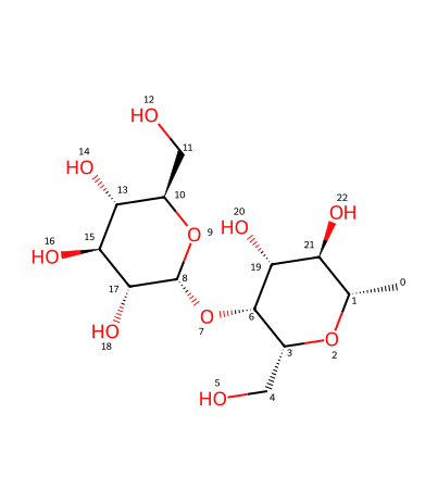 C[C@@H]1O[C@H](CO)[C@H](O[C@H]2O[C@H](CO)[C@@H](O)[C@H](O)[C@H]2O)[C@H](O)[C@H]1O